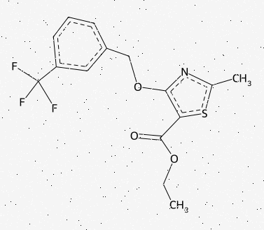 CCOC(=O)c1sc(C)nc1OCc1cccc(C(F)(F)F)c1